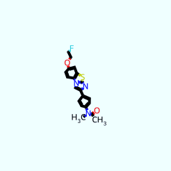 CC(=O)N(C)c1ccc(-c2cn3c(n2)sc2cc(OCCF)ccc23)cc1